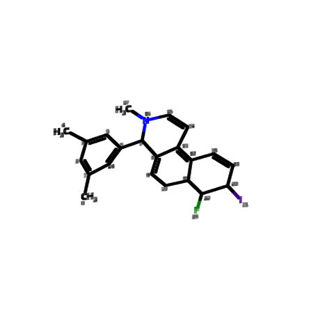 Cc1cc(C)cc(C2C3=CCC4C(=C3C=CN2C)C=CC(I)C4F)c1